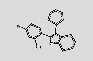 Oc1cc(Br)ccc1-c1nc2ccccc2n1-c1ccccc1